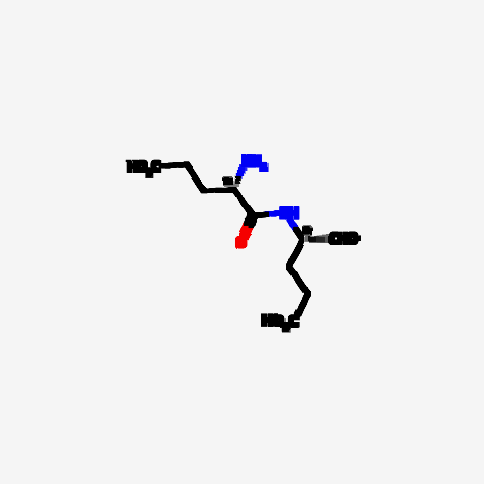 N[C@@H](CCC(=O)O)C(=O)N[C@H]([C]=O)CCC(=O)O